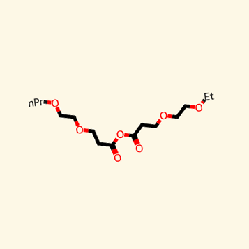 CCCOCCOCCC(=O)OC(=O)CCOCCOCC